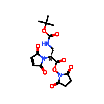 CC(C)(C)OC(=O)NC[C@H](C(=O)ON1C(=O)CCC1=O)N1C(=O)C=CC1=O